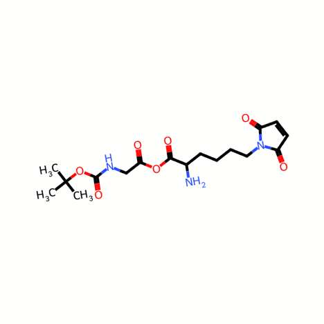 CC(C)(C)OC(=O)NCC(=O)OC(=O)C(N)CCCCN1C(=O)C=CC1=O